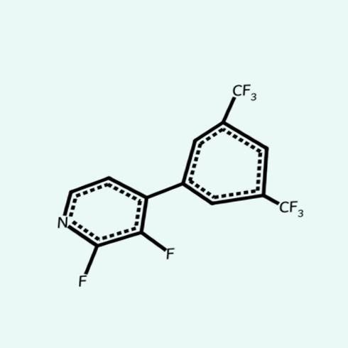 Fc1nccc(-c2cc(C(F)(F)F)cc(C(F)(F)F)c2)c1F